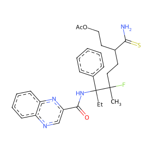 CCC(NC(=O)c1cnc2ccccc2n1)(c1ccccc1)C(C)(F)CCC(CCOC(C)=O)C(N)=S